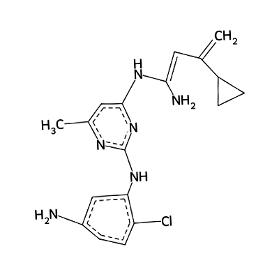 C=C(/C=C(\N)Nc1cc(C)nc(Nc2cc(N)ccc2Cl)n1)C1CC1